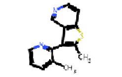 Cc1cccnc1-c1c(C)sc2ccncc12